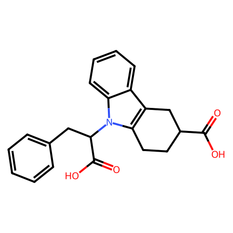 O=C(O)C1CCc2c(c3ccccc3n2C(Cc2ccccc2)C(=O)O)C1